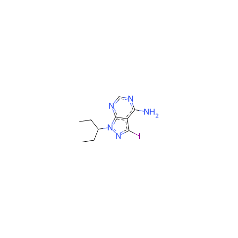 CCC(CC)n1nc(I)c2c(N)ncnc21